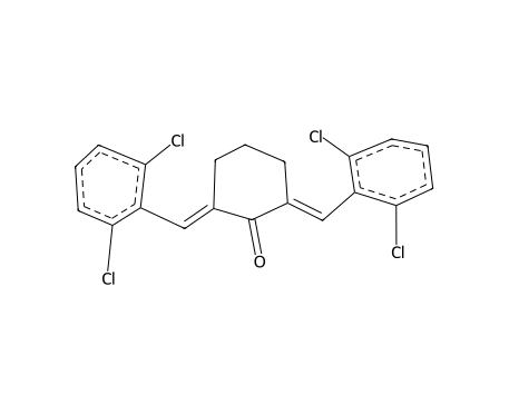 O=C1C(=Cc2c(Cl)cccc2Cl)CCCC1=Cc1c(Cl)cccc1Cl